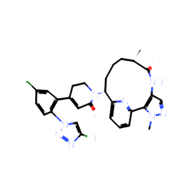 C[C@@H]1CCC[C@H](N2CCC(c3cc(Cl)ccc3-n3cc(Cl)nn3)=CC2=O)c2cccc(n2)-c2c(cnn2C)NC1=O